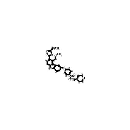 CCc1noc(-c2ncc3[nH]c4ccc(Oc5ccc(S(=O)(=O)NN6CCOCC6)cc5)cc4c3c2COC)n1